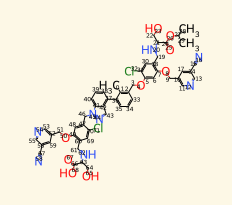 Cc1c(COc2cc(OCc3cncc(C#N)c3)c(CNC(CO)C(=O)OC(C)C)cc2Cl)cccc1-c1cccc2c1cnn2Cc1cc(OCc2cncc(C#N)c2)c(CNC(CO)C(=O)O)cc1Cl